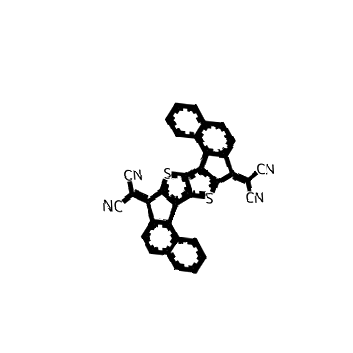 N#CC(C#N)=C1c2ccc3ccccc3c2-c2c1sc1c3c(sc21)C(=C(C#N)C#N)c1ccc2ccccc2c1-3